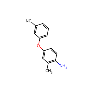 Cc1cc(Oc2cccc(C#N)c2)ccc1N